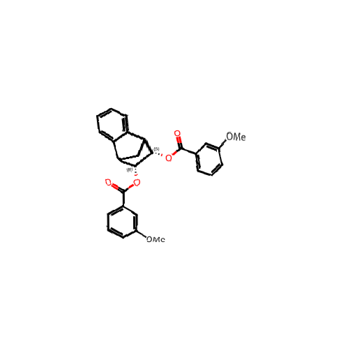 COc1cccc(C(=O)O[C@@H]2C3CC(c4ccccc43)[C@@H]2OC(=O)c2cccc(OC)c2)c1